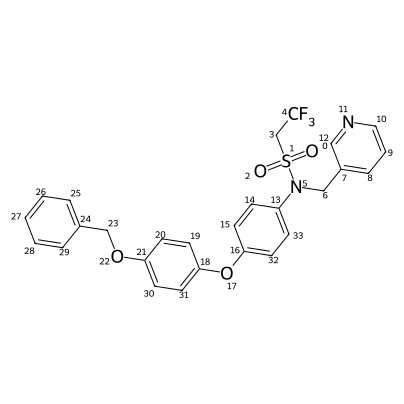 O=S(=O)(CC(F)(F)F)N(Cc1cccnc1)c1ccc(Oc2ccc(OCc3ccccc3)cc2)cc1